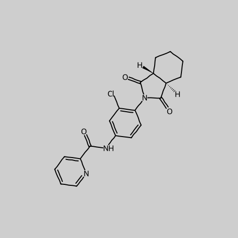 O=C(Nc1ccc(N2C(=O)[C@@H]3CCCC[C@H]3C2=O)c(Cl)c1)c1ccccn1